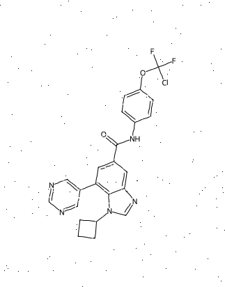 O=C(Nc1ccc(OC(F)(F)Cl)cc1)c1cc(-c2cncnc2)c2c(c1)ncn2C1CCC1